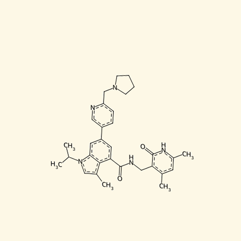 Cc1cc(C)c(CNC(=O)c2cc(-c3ccc(CN4CCCC4)nc3)cc3c2c(C)cn3C(C)C)c(=O)[nH]1